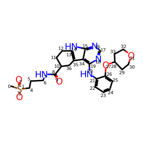 CS(=O)(=O)CCCNC(=O)C1CCc2[nH]c3ncnc(Nc4ccccc4OC4CCOCC4)c3c2C1